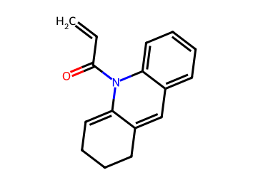 C=CC(=O)N1C2=CCCCC2=Cc2ccccc21